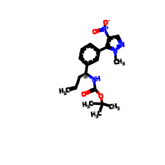 C=CC[C@H](NC(=O)OC(C)(C)C)c1cccc(-c2c([N+](=O)[O-])cnn2C)c1